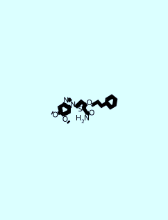 COc1cc2ncn(-c3cc(OCCCc4ccccc4)c(C(N)=O)s3)c2cc1OC